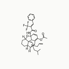 C=CC[N+]1(CC(C)C)CC[C@]23C4C5=C(OC(C)=O)C=CC4(NC(=O)C(=Cc4ccccc4)C(F)(F)F)O[C@H]2CCC[C@H]3[C@H]1C5